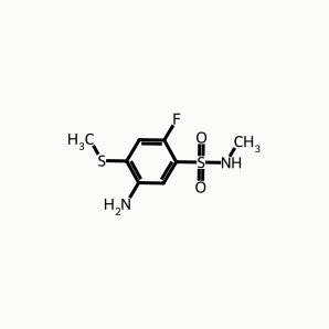 CNS(=O)(=O)c1cc(N)c(SC)cc1F